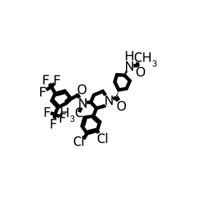 CC(=O)N[C@H]1CC[C@H](C(=O)N2CCC(N(C)C(=O)c3cc(C(F)(F)F)cc(C(F)(F)F)c3)C(c3ccc(Cl)c(Cl)c3)C2)CC1